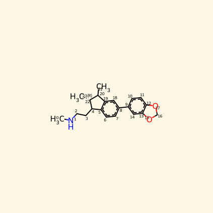 CNCCC1c2ccc(-c3ccc4c(c3)OCO4)cc2C(C)[C@H]1C